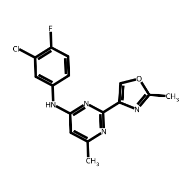 Cc1cc(Nc2ccc(F)c(Cl)c2)nc(-c2coc(C)n2)n1